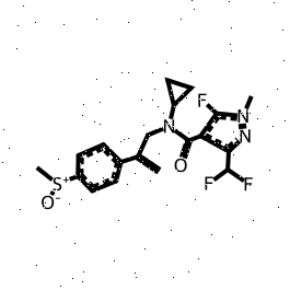 C=C(CN(C(=O)c1c(C(F)F)nn(C)c1F)C1CC1)c1ccc([S+](C)[O-])cc1